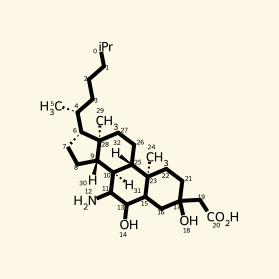 CC(C)CCC[C@@H](C)[C@H]1CC[C@H]2[C@@H]3C(N)C(O)C4CC(O)(CC(=O)O)CC[C@]4(C)[C@H]3CC[C@]12C